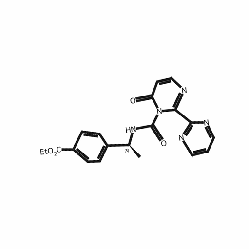 CCOC(=O)c1ccc([C@H](C)NC(=O)n2c(-c3n[c]ccn3)n[c]cc2=O)cc1